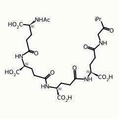 CC(=O)N[C@@H](CCC(=O)N[C@@H](CCC(=O)N[C@@H](CCC(=O)N[C@@H](CCC(=O)NCC(=O)C(C)C)C(=O)O)C(=O)O)C(=O)O)C(=O)O